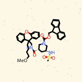 COCCCCC1(CNC(=O)[C@H]2C[C@@H](NS(C)(=O)=O)CN(C(=O)OCC3c4ccccc4-c4ccccc43)C2)c2ccccc2Oc2ccccc21